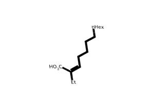 CCCCCCCCCCC=C(CC)C(=O)O